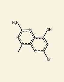 Cc1nc(N)nc2c(O)cc(Br)cc12